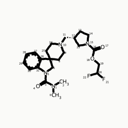 CN(C)C(=O)N1CC2(CCN(C[C@@H]3CCN(C(=O)OCC(F)F)C3)CC2)c2ccccc21